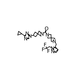 O=C(N1CC2(CC(n3cnc(C4CC4)n3)C2)C1)N1CC2(CN(Cc3ccnn3CC(F)(F)F)C2)C1